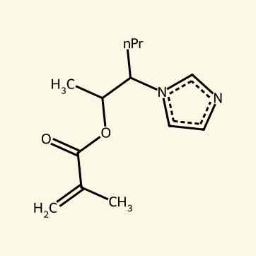 C=C(C)C(=O)OC(C)C(CCC)n1ccnc1